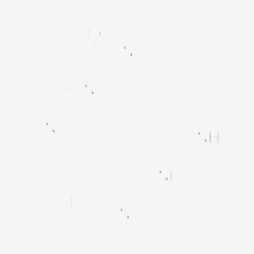 NCCN.NCCN.NCCN.O.[Cd]